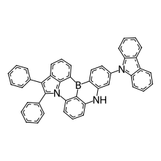 c1ccc(-c2c(-c3ccccc3)n3c4c(cccc24)B2c4ccc(-n5c6ccccc6c6ccccc65)cc4Nc4cccc-3c42)cc1